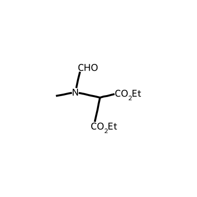 CCOC(=O)C(C(=O)OCC)N(C)C=O